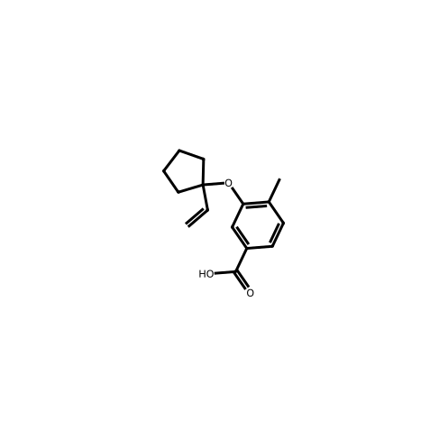 C=CC1(Oc2cc(C(=O)O)ccc2C)CCCC1